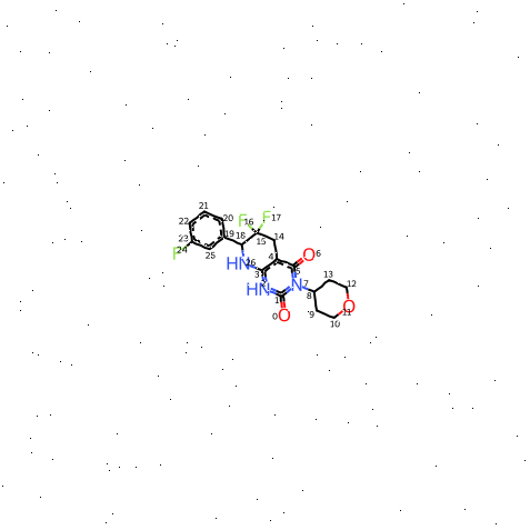 O=c1[nH]c2c(c(=O)n1C1CCOCC1)CC(F)(F)C(c1cccc(F)c1)N2